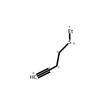 C#CCCSC[CH2]